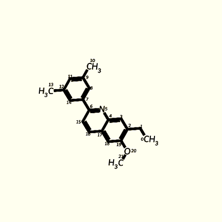 CCc1cc2nc(-c3cc(C)cc(C)c3)ccc2cc1OC